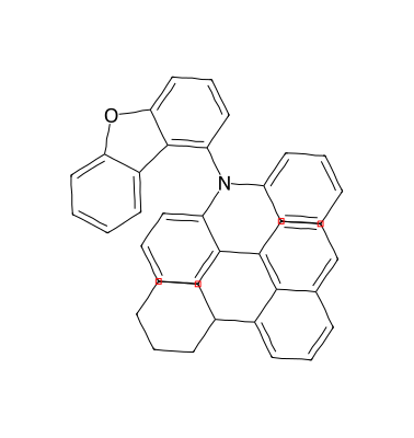 c1ccc(N(c2ccccc2-c2cccc3cccc(C4CCCCC4)c23)c2cccc3oc4ccccc4c23)cc1